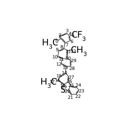 Cc1ccc(C(F)(F)F)cc1-c1ccc2cc(-c3cc(C)c4sc5ccccc5c4c3)ccc2c1C